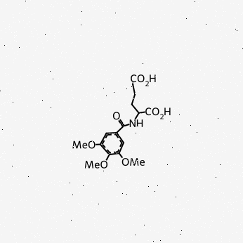 COc1cc(C(=O)NC(CCCC(=O)O)C(=O)O)cc(OC)c1OC